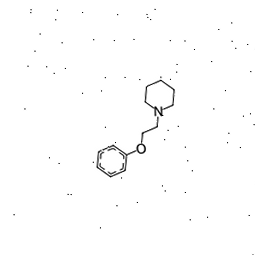 [CH]1CCN(CCOc2ccccc2)CC1